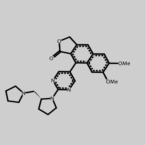 COc1cc2cc3c(c(-c4cnc(N5CCC[C@@H]5CN5CCCC5)nc4)c2cc1OC)C(=O)OC3